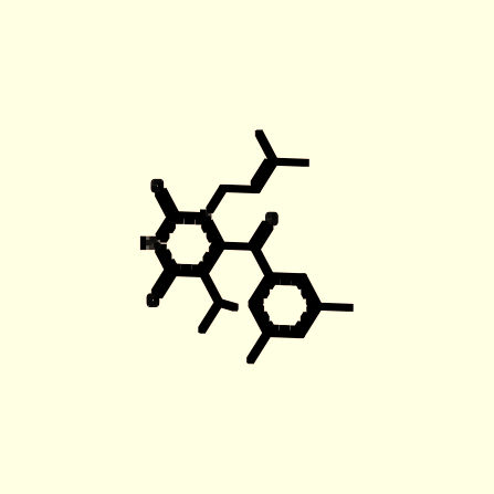 CC(C)=CCn1c(C(=O)c2cc(C)cc(C)c2)c(C(C)C)c(=O)[nH]c1=O